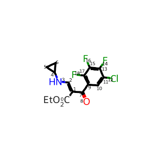 CCOC(=O)C(=CNC1CC1)C(=O)c1cc(Cl)c(F)c(F)c1F